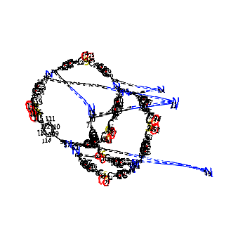 O=S1(=O)Cc2ccc(cc2)-c2nc3nc(n2)-c2ccc(cc2)CS(=O)(=O)Cc2ccc(cc2)-c2nc4nc(n2)-c2ccc(cc2)CS(=O)(=O)Cc2ccc(cc2)-c2nc(nc(n2)-c2ccc(cc2)CS(=O)(=O)Cc2ccc(cc2)-c2nc(nc(n2)-c2ccc(cc2)CS(=O)(=O)Cc2ccc-4cc2)-c2ccc(cc2)C1)-c1ccc(cc1)CS(=O)(=O)Cc1ccc-3cc1